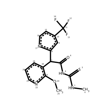 CNC(=S)NC(=O)C(c1cc(C(F)(F)F)ccn1)c1cccnc1OC